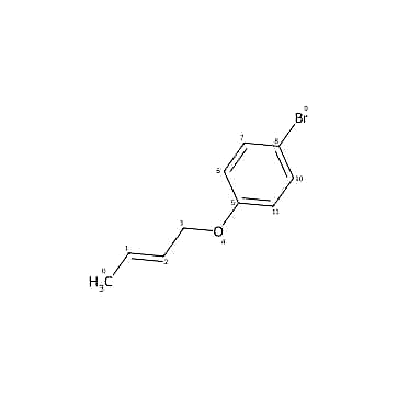 CC=CCOc1ccc(Br)cc1